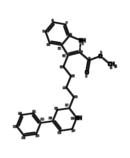 COC(=O)c1[nH]c2ccccc2c1CCCCC1CC(c2ccccc2)=CCN1